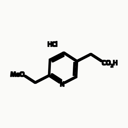 COCc1ccc(CC(=O)O)cn1.Cl